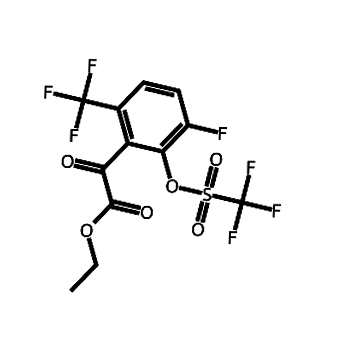 CCOC(=O)C(=O)c1c(C(F)(F)F)ccc(F)c1OS(=O)(=O)C(F)(F)F